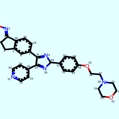 O/N=C1\CCc2cc(C3=NC(c4ccc(OCCN5CCOCC5)cc4)N=C3c3ccncc3)ccc21